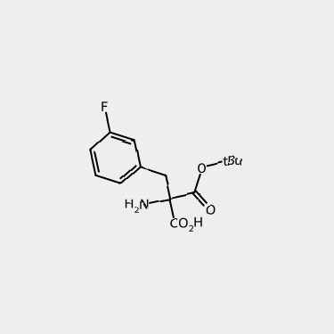 CC(C)(C)OC(=O)C(N)(Cc1cccc(F)c1)C(=O)O